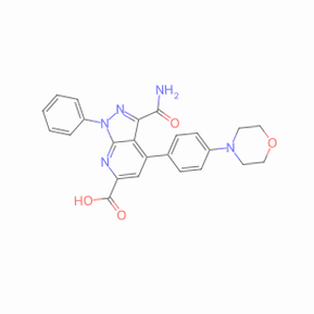 NC(=O)c1nn(-c2ccccc2)c2nc(C(=O)O)cc(-c3ccc(N4CCOCC4)cc3)c12